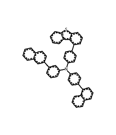 c1cc(-c2ccc3ccccc3c2)cc(N(c2ccc(-c3cccc4ccccc34)cc2)c2ccc(-c3cccc4sc5ccccc5c34)cc2)c1